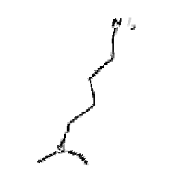 C[Si](C)CCCCN